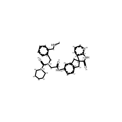 CNCc1ccccc1CN(CC(=O)Nc1ccc2c(c1)CC1(C2)C(=O)Nc2ncccc21)C(=O)N1CCCCC1